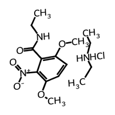 CCNC(=O)c1c(OC)ccc(OC)c1[N+](=O)[O-].CCNCC.Cl